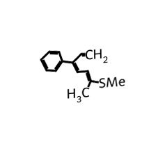 C=C/C(=C\C=C(/C)SC)c1ccccc1